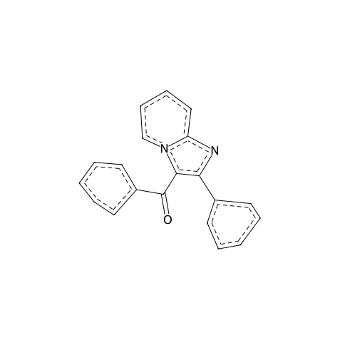 O=C(c1ccccc1)c1c(-c2ccccc2)nc2ccccn12